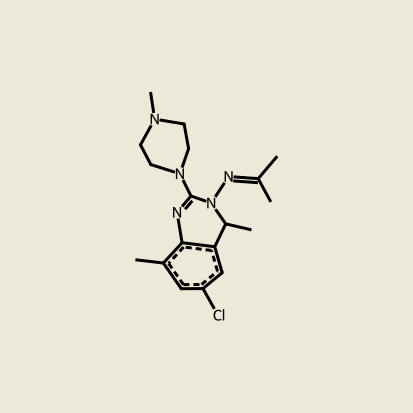 CC(C)=NN1C(N2CCN(C)CC2)=Nc2c(C)cc(Cl)cc2C1C